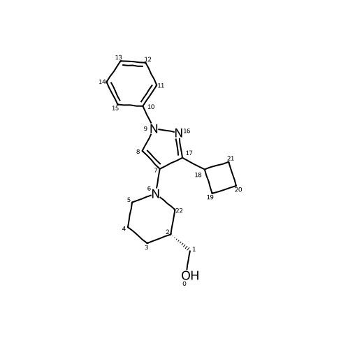 OC[C@@H]1CCCN(c2cn(-c3ccccc3)nc2C2CCC2)C1